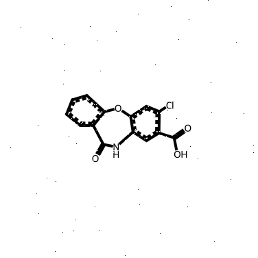 O=C(O)c1cc2c(cc1Cl)Oc1ccccc1C(=O)N2